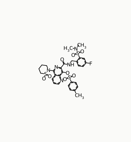 Cc1ccc(S(=O)(=O)Oc2c(C(=O)NCc3ccc(F)cc3S(=O)(=O)N(C)C)nc(N3CCCCS3(=O)=O)c3cccnc23)cc1